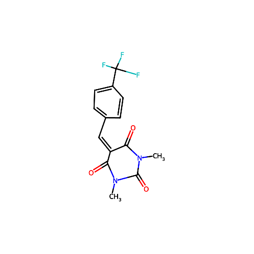 CN1C(=O)C(=Cc2ccc(C(F)(F)F)cc2)C(=O)N(C)C1=O